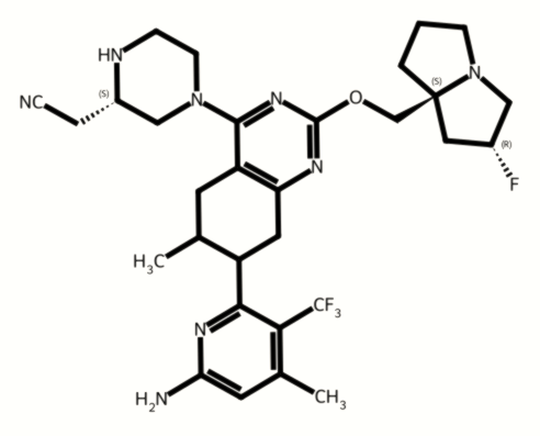 Cc1cc(N)nc(C2Cc3nc(OC[C@@]45CCCN4C[C@H](F)C5)nc(N4CCN[C@@H](CC#N)C4)c3CC2C)c1C(F)(F)F